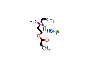 Br.C=CC(=O)OCC[P+](C)(C)CC.N.[Br-]